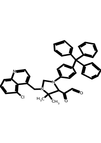 CC1(C)C(C(=O)C=O)N(c2ccc(C(c3ccccc3)(c3ccccc3)c3ccccc3)cc2)CN1Cc1ccnc2cccc(Cl)c12